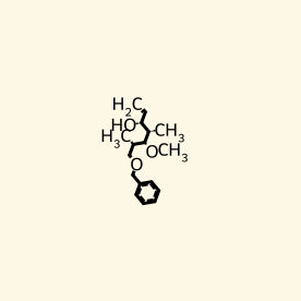 C=C[C@@H](O)[C@H](C)[C@H](OC)[C@H](C)COCc1ccccc1